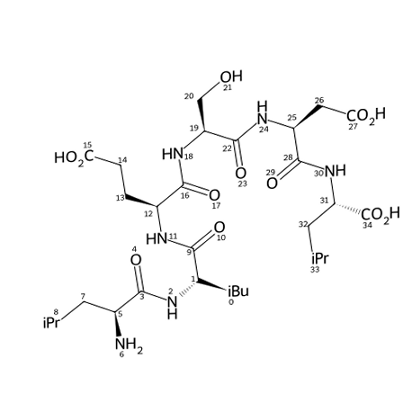 CC[C@H](C)[C@H](NC(=O)[C@@H](N)CC(C)C)C(=O)N[C@@H](CCC(=O)O)C(=O)N[C@@H](CO)C(=O)N[C@@H](CC(=O)O)C(=O)N[C@@H](CC(C)C)C(=O)O